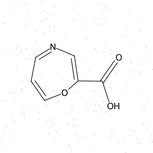 O=C(O)C1=CN=CC=CO1